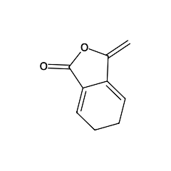 C=C1OC(=O)C2=CCCC=C12